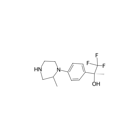 CC1CNCCN1c1ccc([C@](C)(O)C(F)(F)F)cc1